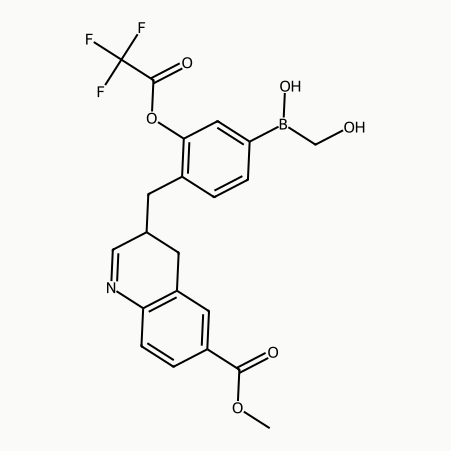 COC(=O)c1ccc2c(c1)CC(Cc1ccc(B(O)CO)cc1OC(=O)C(F)(F)F)C=N2